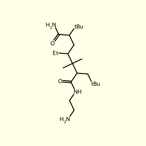 CCC(CC(C(N)=O)C(C)(C)C)C(C)(C)C(CC(C)(C)C)C(=O)NCCN